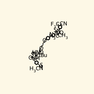 Cc1ncsc1-c1ccc(CNC(=O)[C@@H]2CCCN2C(=O)[C@@H](NC(=O)COCCCCOc2ccc(-c3ccc(N4C(=S)N(c5ccc(C#N)c(C(F)(F)F)c5)C(=O)C4(C)C)cn3)cc2)C(C)(C)C)cc1